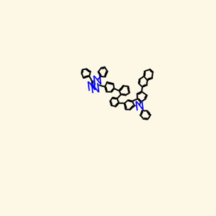 c1ccc(-c2nnc(-c3ccc(-c4ccccc4-c4ccccc4-c4ccc5c(c4)c4cc(-c6ccc7ccccc7c6)ccc4n5-c4ccccc4)cc3)n2-c2ccccc2)cc1